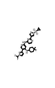 CC1(F)CCC(Nc2cc(Nc3ccnc(-c4cnn(S(=O)(=O)C5CC5)c4)n3)ncc2-c2ccn(C(F)F)n2)CC1